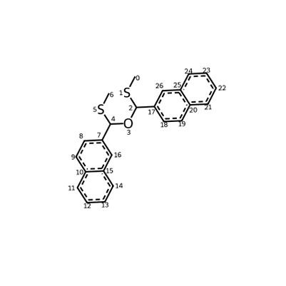 CSC(OC(SC)c1ccc2ccccc2c1)c1ccc2ccccc2c1